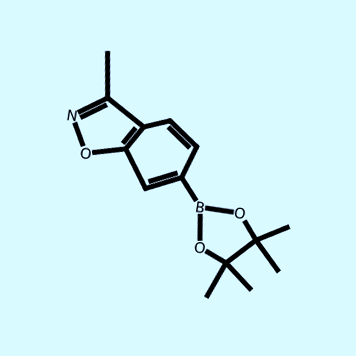 Cc1noc2cc(B3OC(C)(C)C(C)(C)O3)ccc12